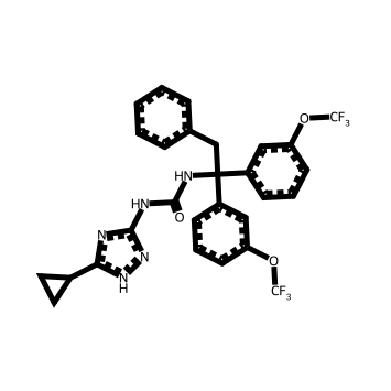 O=C(Nc1n[nH]c(C2CC2)n1)NC(Cc1ccccc1)(c1cccc(OC(F)(F)F)c1)c1cccc(OC(F)(F)F)c1